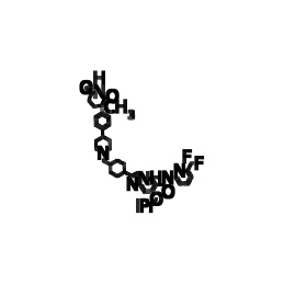 CC(C)Oc1cc2nc(C3CCC(CN4CCC(c5ccc(C6(C)CCC(=O)NC6=O)cc5)CC4)CC3)cn2cc1C(=O)Nc1cccc(C(F)F)n1